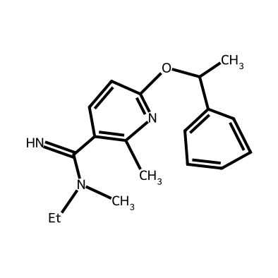 CCN(C)C(=N)c1ccc(OC(C)c2ccccc2)nc1C